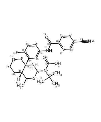 CC1S[C@@H](N(C(=O)O)C(C)(C)C)N[C@@]2(c3cc(NC(=O)c4ccc(C#N)cn4)ccc3F)COCC[C@@H]12